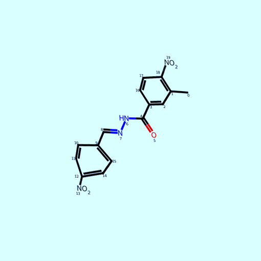 Cc1cc(C(=O)NN=Cc2ccc([N+](=O)[O-])cc2)ccc1[N+](=O)[O-]